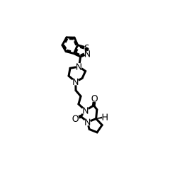 O=C1C[C@@H]2CCCN2C(=O)N1CCCN1CCN(c2nsc3ccccc23)CC1